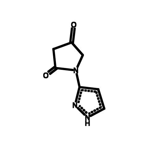 O=C1CC(=O)N(c2cc[nH]n2)C1